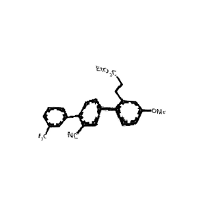 CCOC(=O)CCc1cc(OC)ccc1-c1ccc(-c2cccc(C(F)(F)F)c2)c(C#N)c1